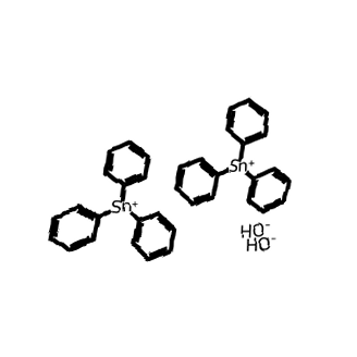 [OH-].[OH-].c1cc[c]([Sn+]([c]2ccccc2)[c]2ccccc2)cc1.c1cc[c]([Sn+]([c]2ccccc2)[c]2ccccc2)cc1